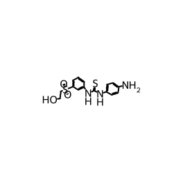 Nc1ccc(NC(=S)Nc2cccc(S(=O)(=O)CCO)c2)cc1